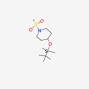 CC(C)(C)[Si](C)(C)OC1CCN(S(C)(=O)=O)CC1